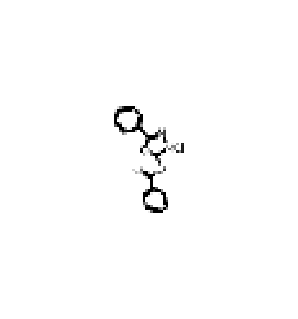 O=C(OC1OC(c2ccccc2)=NN1Cl)c1ccccc1